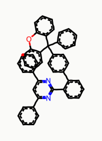 c1ccc(-c2cc(-c3ccccc3)nc(-c3ccccc3-c3ccc(C4(c5ccccc5)c5ccccc5Oc5ccccc54)cc3)n2)cc1